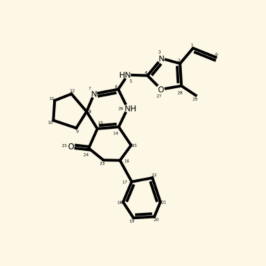 C=Cc1nc(NC2=NC3(CCCC3)C3=C(CC(c4ccccc4)CC3=O)N2)oc1C